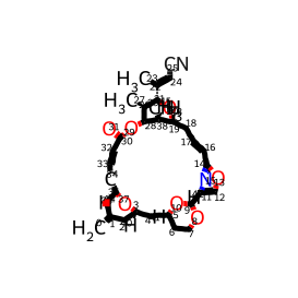 C=C1C[C@@H]2C[C@@H]3CCO[C@@H](O3)c3coc(n3)/C=C/C[C@H]3O[C@@H](/C(C)=C/C#N)[C@H](C)C(OC(=O)/C=C\C[C@@H](C1)O2)[C@H]3C